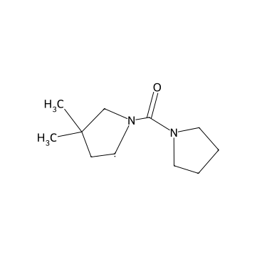 CC1(C)C[CH]N(C(=O)N2CCCC2)C1